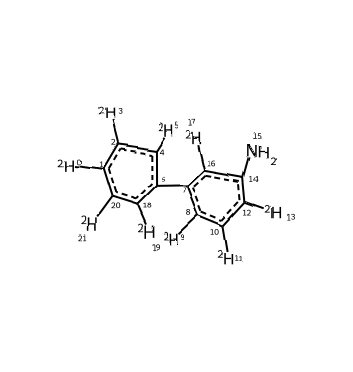 [2H]c1c([2H])c([2H])c(-c2c([2H])c([2H])c([2H])c(N)c2[2H])c([2H])c1[2H]